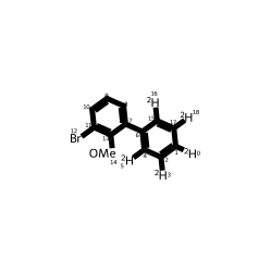 [2H]c1c([2H])c([2H])c(-c2cccc(Br)c2OC)c([2H])c1[2H]